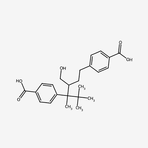 CC(C)(C)C(C)(c1ccc(C(=O)O)cc1)C(CO)CCc1ccc(C(=O)O)cc1